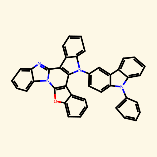 c1ccc(-n2c3ccccc3c3cc(-n4c5ccccc5c5c4c4c6ccccc6oc4n4c6ccccc6nc54)ccc32)cc1